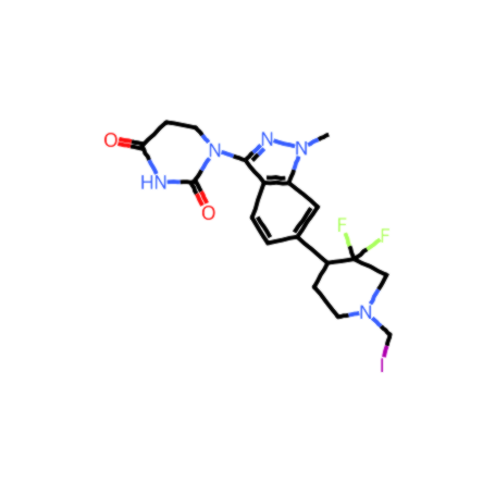 Cn1nc(N2CCC(=O)NC2=O)c2ccc(C3CCN(CI)CC3(F)F)cc21